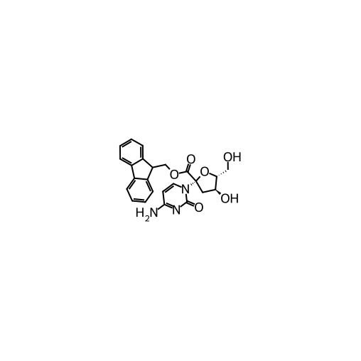 Nc1ccn([C@@]2(C(=O)OCC3c4ccccc4-c4ccccc43)C[C@H](O)[C@@H](CO)O2)c(=O)n1